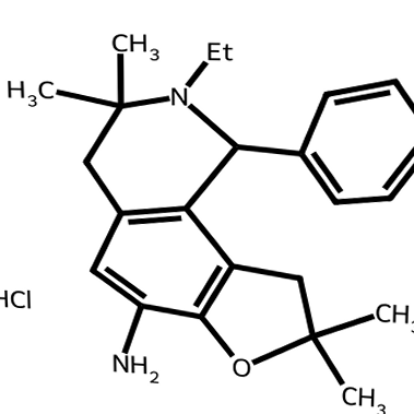 CCN1C(c2ccccc2)c2c(cc(N)c3c2CC(C)(C)O3)CC1(C)C.Cl